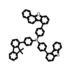 CC1(C)c2ccccc2-c2cccc(-c3ccc(N(c4ccc(-c5cccc6oc7c8ccccc8ccc7c56)cc4)c4ccc(-c5cccc6sc7ccccc7c56)cc4)cc3)c21